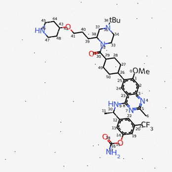 COc1cc2nc(C)nc(N[C@H](C)c3cc(OC(N)=O)cc(C(F)(F)F)c3)c2cc1C1CCC(C(=O)N2CCN(C(C)(C)C)CC2CCCOC2CCNCC2)CC1